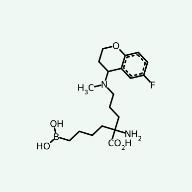 CN(CCCC(N)(CCCCB(O)O)C(=O)O)C1CCOc2ccc(F)cc21